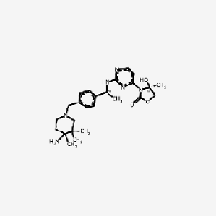 C[C@H](Nc1nccc(N2C(=O)OC[C@]2(C)O)n1)c1ccc(CN2CCC(C)(N)C(C)(C)C2)cc1